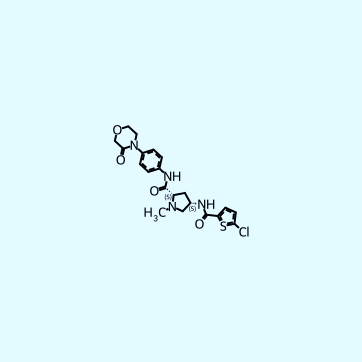 CN1C[C@@H](NC(=O)c2ccc(Cl)s2)C[C@H]1C(=O)Nc1ccc(N2CCOCC2=O)cc1